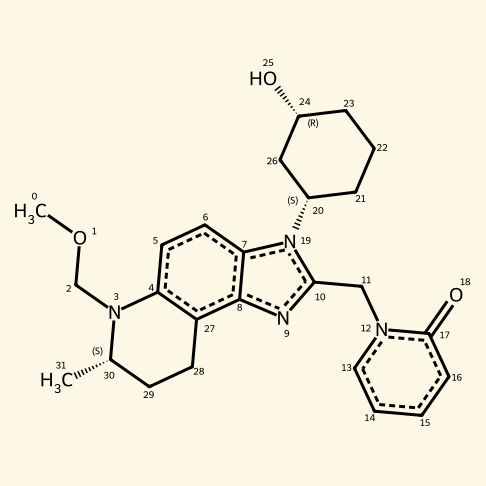 COCN1c2ccc3c(nc(Cn4ccccc4=O)n3[C@H]3CCC[C@@H](O)C3)c2CC[C@@H]1C